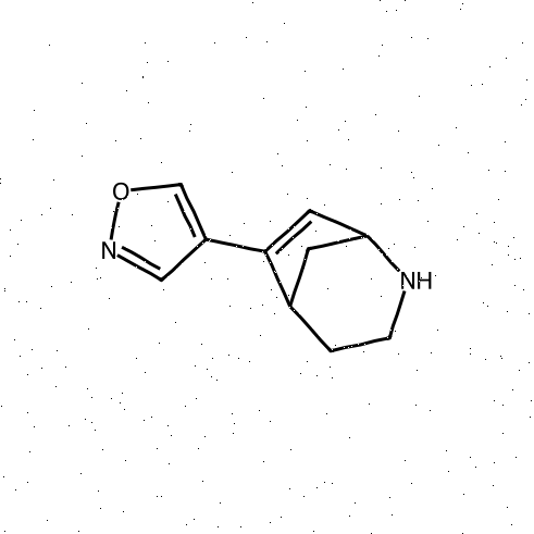 C1=C(c2cnoc2)C2CCNC1C2